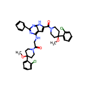 COC1(c2ccccc2Cl)CCN(C(=O)CNc2nc(-c3ccccc3)nc3[nH]c(C(=O)N4CCC(OC)(c5ccccc5Cl)CC4)cc23)CC1